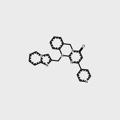 O=c1cc(-c2ccncc2)nc2n1Cc1ccccc1N2Cc1cn2ccccc2n1